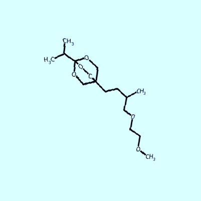 COCCOCC(C)CCC12COC(C(C)C)(OC1)OC2